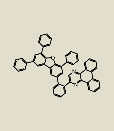 c1ccc(-c2cc(-c3ccccc3)c3oc4c(-c5ccccc5)cc(-c5ccccc5-c5cnc6c7ccccc7c7ccccc7c6n5)cc4c3c2)cc1